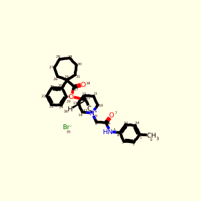 Cc1ccc(NC(=O)C[N+]23CCC(CC2)[C@@H](OC(=O)C2(c4ccccc4)CCCCCC2)C3)cc1.[Br-]